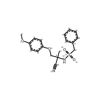 COc1ccc(OCC(C)(C#N)NS(=O)(=O)Cc2ccccc2)cc1